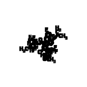 C=C(C)C#Cc1ccc(-c2ccc(Cl)c3c(NS(C)(=O)=O)nn(CC(F)(F)F)c23)c([C@H](Cc2cc(F)cc(F)c2)NC(=O)Cn2nc(C(F)(F)F)c3c2C(F)(F)[C@@H]2[C@H](C)[C@H]32)n1